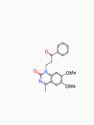 COc1cc2c(C)nc(=O)n(CCC(=O)c3ccccc3)c2cc1OC